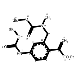 C=C(C(=O)OCC)c1ccc(NC(=O)OC(C)(C)C)cc1CN(C)C(=O)OC(C)(C)C